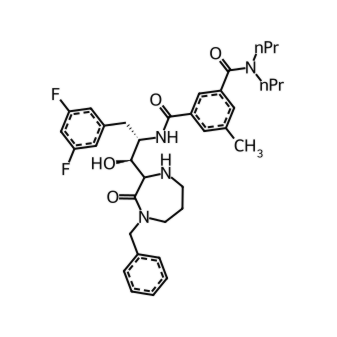 CCCN(CCC)C(=O)c1cc(C)cc(C(=O)N[C@@H](Cc2cc(F)cc(F)c2)[C@H](O)C2NCCCN(Cc3ccccc3)C2=O)c1